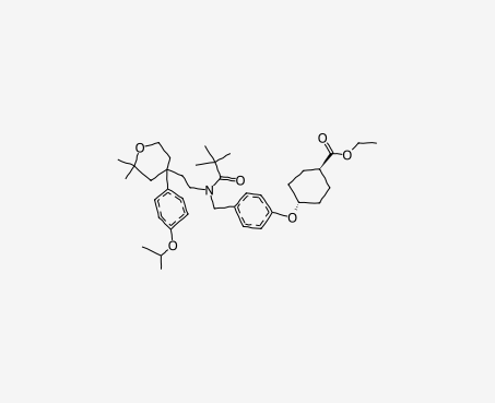 CCOC(=O)[C@H]1CC[C@H](Oc2ccc(CN(CCC3(c4ccc(OC(C)C)cc4)CCOC(C)(C)C3)C(=O)C(C)(C)C)cc2)CC1